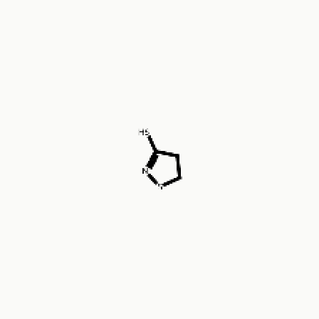 SC1=NSCC1